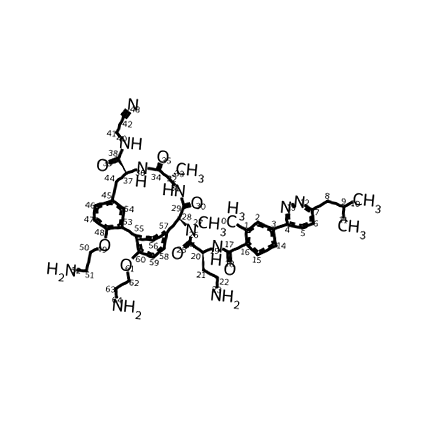 Cc1cc(-c2ccc(CC(C)C)nn2)ccc1C(=O)N[C@@H](CCN)C(=O)N(C)[C@@H]1C(=O)N[C@@H](C)C(=O)N[C@H](C(=O)NCC#N)Cc2ccc(OCCN)c(c2)-c2cc1ccc2OCCN